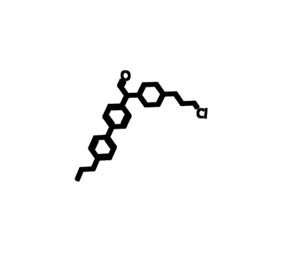 CCCc1ccc(-c2ccc(C(C=O)C3CCC(CCCCl)CC3)cc2)cc1